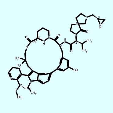 CCn1c(C2=C([C@H](C)OC)N=CCC2)c2c3cc(ccc31)-c1cc(O)cc(c1)C[C@H](NC(=O)[C@H](C(C)C)N1CC[C@]3(CCN(C[C@H]4CN4)C3)C1=O)C(=O)N1CCC[C@H](N1)C(=O)OCC(C)(C)C2